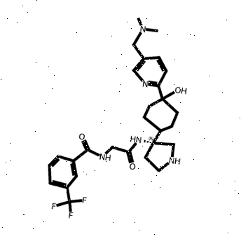 CN(C)Cc1ccc(C2(O)CCC([C@]3(NC(=O)CNC(=O)c4cccc(C(F)(F)F)c4)CCNC3)CC2)nc1